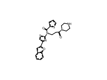 O=C(CCN(C(=O)c1cccs1)c1nc(-c2cc3ccccc3o2)cs1)N1CCNCC1